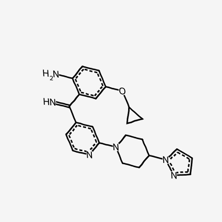 N=C(c1ccnc(N2CCC(n3cccn3)CC2)c1)c1cc(OC2CC2)ccc1N